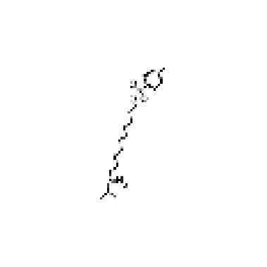 CC(C)=C[SiH2]CCCCCCCCCCOS(=O)(=O)c1ccc(C)cc1